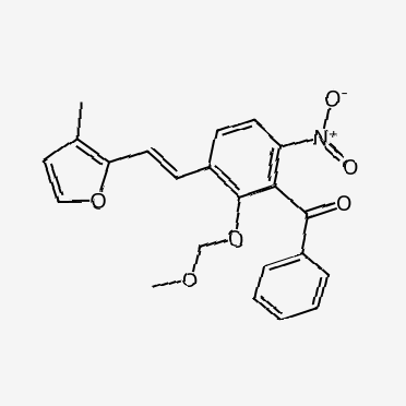 COCOc1c(/C=C/c2occc2C)ccc([N+](=O)[O-])c1C(=O)c1ccccc1